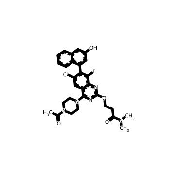 CC(=O)N1CCN(c2nc(OCCC(=O)N(C)C)nc3c(F)c(-c4cc(O)cc5ccccc45)c(Cl)cc23)CC1